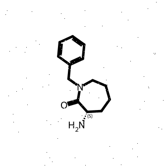 N[C@H]1CCCCN(Cc2ccccc2)C1=O